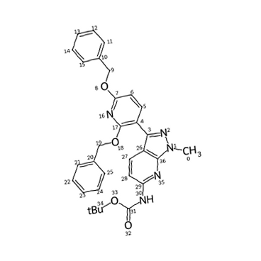 Cn1nc(-c2ccc(OCc3ccccc3)nc2OCc2ccccc2)c2ccc(NC(=O)OC(C)(C)C)nc21